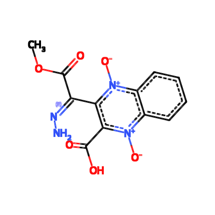 COC(=O)/C(=N/N)c1c(C(=O)O)[n+]([O-])c2ccccc2[n+]1[O-]